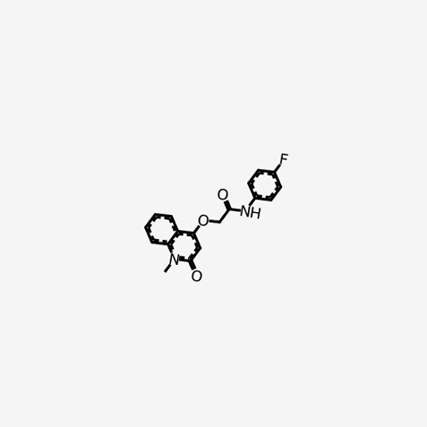 Cn1c(=O)cc(OCC(=O)Nc2ccc(F)cc2)c2ccccc21